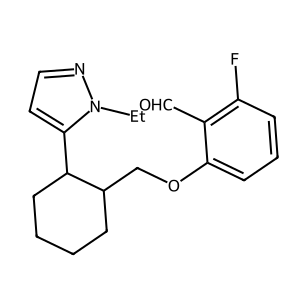 CCn1nccc1C1CCCCC1COc1cccc(F)c1C=O